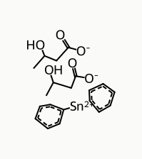 CC(O)CC(=O)[O-].CC(O)CC(=O)[O-].c1cc[c]([Sn+2][c]2ccccc2)cc1